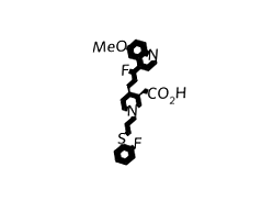 COc1ccc2nccc(C(F)CC[C@@H]3CCN(CCCSc4ccccc4F)C[C@@H]3CC(=O)O)c2c1